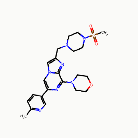 Cc1ccc(-c2cn3cc(CN4CCN(S(C)(=O)=O)CC4)nc3c(N3CCOCC3)n2)cn1